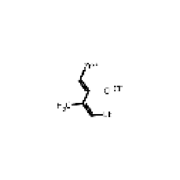 CCC=C(C)C=[CH][Zr+2].[Cl-].[Cl-]